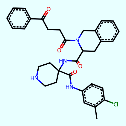 Cc1cc(NC(=O)C2(NC(=O)C3Cc4ccccc4CN3C(=O)CCC(=O)c3ccccc3)CCNCC2)ccc1Cl